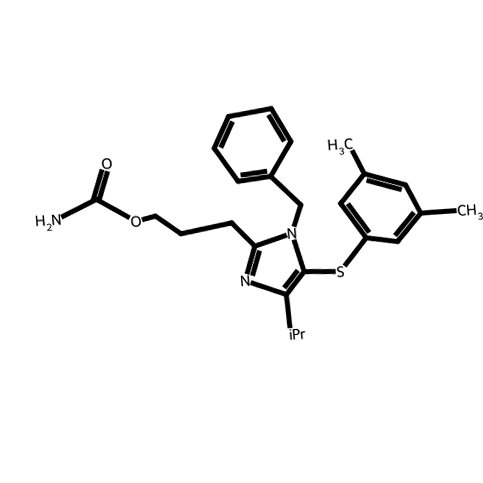 Cc1cc(C)cc(Sc2c(C(C)C)nc(CCCOC(N)=O)n2Cc2ccccc2)c1